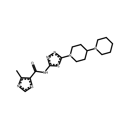 Cc1ncsc1C(=O)Nc1nnc(N2CCC(N3CCCCC3)CC2)s1